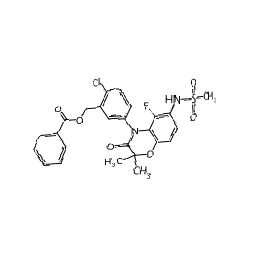 CC1(C)Oc2ccc(NS(C)(=O)=O)c(F)c2N(c2ccc(Cl)c(COC(=O)c3ccccc3)c2)C1=O